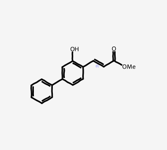 COC(=O)/C=C/c1ccc(-c2ccccc2)cc1O